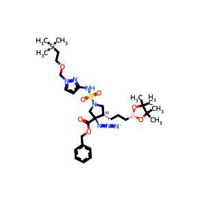 CC1(C)OB(CCC[C@H]2CN(S(=O)(=O)Nc3ccn(COCC[Si](C)(C)C)n3)C[C@@]2(N=[N+]=[N-])C(=O)OCc2ccccc2)OC1(C)C